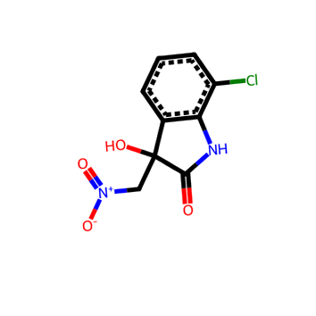 O=C1Nc2c(Cl)cccc2C1(O)C[N+](=O)[O-]